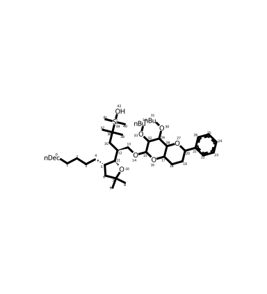 CCCCCCCCCCCCCC[C@H]1CC(C)(C)O[C@H]1[C@H](COC1OC2CCC(c3ccccc3)OC2C(OCCCC)C1OCCCC)CC(C)(C)[Si](C)(C)O